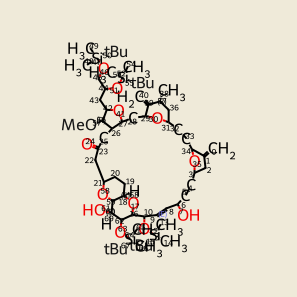 C=C1CC2CCC(O)/C=C/C(O[Si](C)(C)C(C)(C)C)C3O[C@H]4CCC(CC(=O)CC5C(CC6OC(CCC1O2)C[C@@H](C)C6=C)OC(CC(CO[Si](C)(C)C(C)(C)C)O[Si](C)(C)C(C)(C)C)[C@@H]5OC)OC4[C@H](O)C3O[Si](C)(C)C(C)(C)C